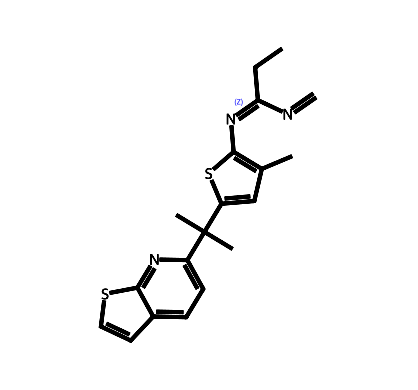 C=N/C(CC)=N\c1sc(C(C)(C)c2ccc3ccsc3n2)cc1C